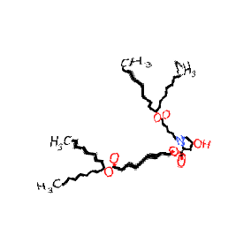 CCCCCCCCC(CCCCCCCC)OC(=O)CCCCCCCOC(=O)[C@@H]1CC(O)CN1CCCCCC(=O)OC(CCCCCCCC)CCCCCCCC